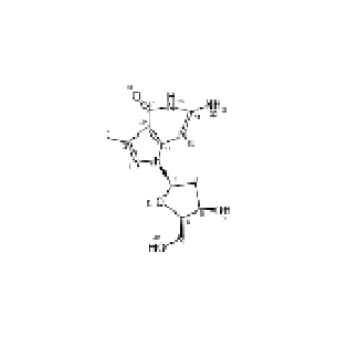 Cc1nn([C@H]2C[C@@H](O)[C@@H](CO)O2)c2nc(N)[nH]c(=O)c12